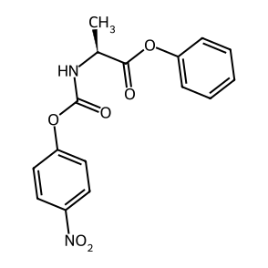 C[C@H](NC(=O)Oc1ccc([N+](=O)[O-])cc1)C(=O)Oc1ccccc1